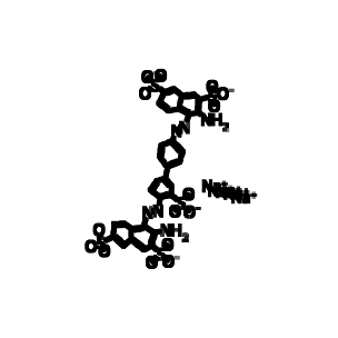 Nc1c(S(=O)(=O)[O-])cc2cc(S(=O)(=O)[O-])ccc2c1N=Nc1ccc(-c2ccc(N=Nc3c(N)c(S(=O)(=O)[O-])cc4cc(S(=O)(=O)[O-])ccc34)c(S(=O)(=O)[O-])c2)cc1.[Na+].[Na+].[Na+].[Na+].[Na+]